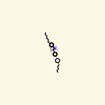 CCCCCCc1ccc2nc(-c3ccc([C@H]4CC[C@H](CCCCC)CC4)cc3)sc2c1